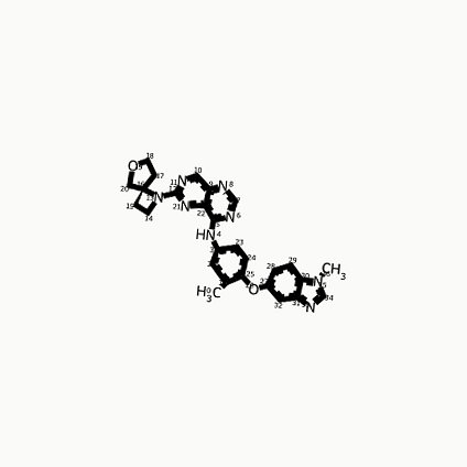 Cc1cc(Nc2ncnc3cnc(N4CC[C@@]45CCOC5)nc23)ccc1Oc1ccc2c(c1)ncn2C